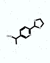 CC(C=O)c1ccc(C2OCCO2)nc1